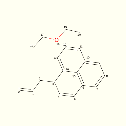 C=CCC1C=Cc2cccc3cccc1c23.CCOCC